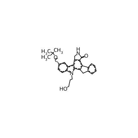 CC(C)(C)OCc1ccc2c(c1)c1c3c(c4c(c1n2CCCO)Cc1ccccc1-4)C(=O)NC3